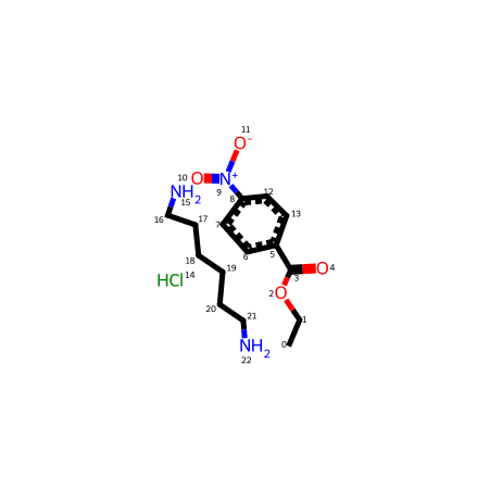 CCOC(=O)c1ccc([N+](=O)[O-])cc1.Cl.NCCCCCCN